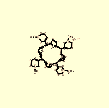 CCCCN1C=CC=C(c2c3nc(c(C4=CC=CN(CCCC)C4)c4ccc([nH]4)c(C4=CC=CN(CCCC)C4)c4nc(c(C5=CC=CN(CCCC)C5)c5ccc2[nH]5)C=C4)C=C3)C1.[Mn+3]